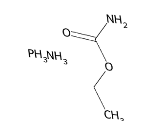 CCOC(N)=O.N.P